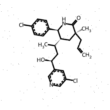 C=CC[C@@]1(C)C[C@H](C(C)C[C@H](O)c2cncc(Cl)c2)[C@@H](c2ccc(Cl)cc2)NC1=O